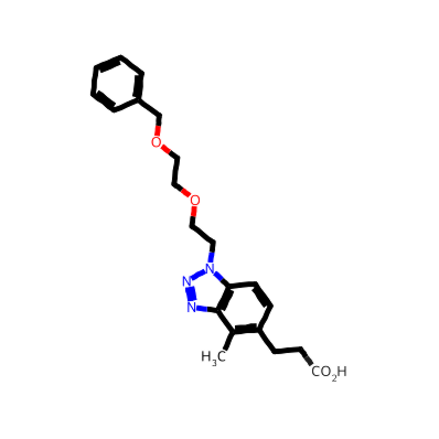 Cc1c(CCC(=O)O)ccc2c1nnn2CCOCCOCc1ccccc1